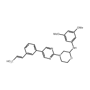 COc1cc(NC2CN(c3ncc(-c4cccc(/C=C/C(=O)O)c4)cn3)CCO2)cc(OC)c1